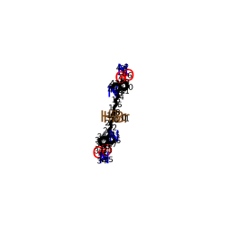 Br.Br.CN(C)C(=O)Oc1cccc2c(CCCCCCCCCCc3nccc4c(OC(=O)N(C)C)cccc34)nccc12